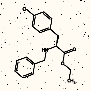 CCOC(=O)[C@H](Cc1ccc(Cl)cc1)NCc1ccccc1